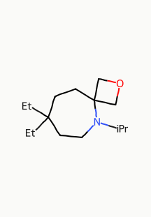 CCC1(CC)CCN(C(C)C)C2(CC1)COC2